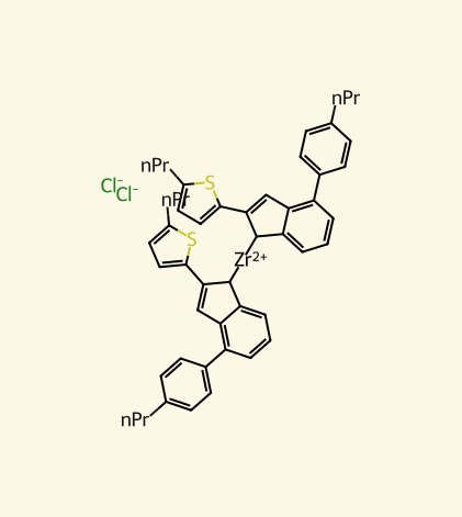 CCCc1ccc(-c2cccc3c2C=C(c2ccc(CCC)s2)[CH]3[Zr+2][CH]2C(c3ccc(CCC)s3)=Cc3c(-c4ccc(CCC)cc4)cccc32)cc1.[Cl-].[Cl-]